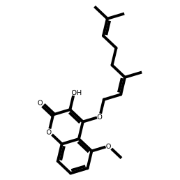 COc1cccc2oc(=O)c(O)c(OCC=C(C)CCC=C(C)C)c12